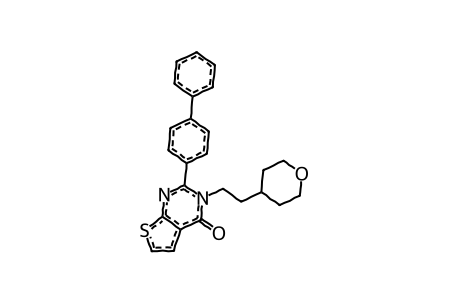 O=c1c2ccsc2nc(-c2ccc(-c3ccccc3)cc2)n1CCC1CCOCC1